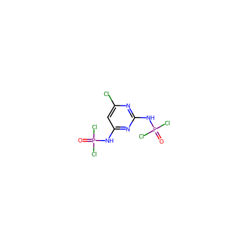 O=P(Cl)(Cl)Nc1cc(Cl)nc(NP(=O)(Cl)Cl)n1